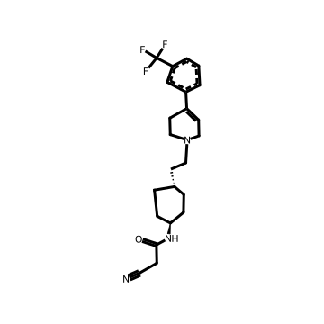 N#CCC(=O)N[C@H]1CC[C@H](CCN2CC=C(c3cccc(C(F)(F)F)c3)CC2)CC1